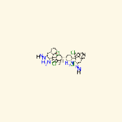 [H]/N=N/C1=Cc2ccccc2C(c2c(Cl)cc(-c3cc(Cl)c(C4(S(=O)(=O)O)c5ccccc5C=C(/N=N/[H])C4N)c(Cl)c3)cc2Cl)(S(=O)(=O)O)C1N